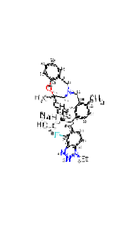 CCn1nnc2c(F)c([C@H](c3ccc(C)c(CN4Cc5ccccc5OC(C)(C)C4)c3)[C@@H](C)C(=O)O)ccc21.[NaH]